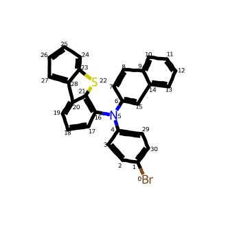 Brc1ccc(N(c2ccc3ccccc3c2)c2cccc3c2sc2ccccc23)cc1